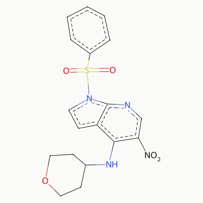 O=[N+]([O-])c1cnc2c(ccn2S(=O)(=O)c2ccccc2)c1NC1CCOCC1